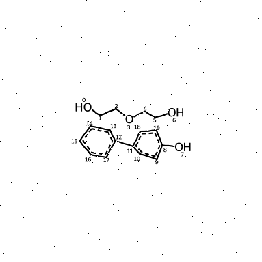 OCCOCCO.Oc1ccc(-c2ccccc2)cc1